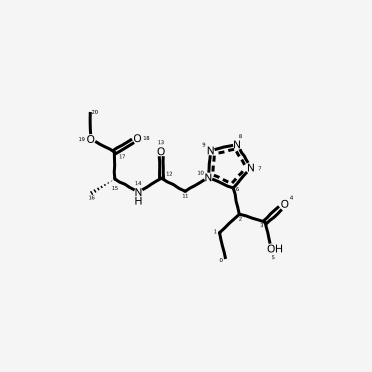 CCC(C(=O)O)c1nnnn1CC(=O)N[C@H](C)C(=O)OC